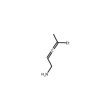 CCC(C)=C=CCN